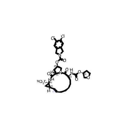 O=C(N[C@H]1CCCCC/C=C/[C@@H]2C[C@@]2(C(=O)O)NC(=O)[C@@H]2C[C@@H](OC(=O)N3Cc4cc(Cl)c(Cl)cc4C3)CN2C1=O)O[C@@H]1CCOC1